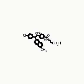 CCC[C@H](c1ccc(C(=O)NCCC(=O)O)cc1)C(c1ccc(Cl)cc1)c1ccc2cc(C)ccc2c1